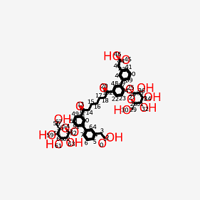 O=C(O)Cc1cccc(-c2cc(C(=O)CCCCCC(=O)c3ccc(O[C@@H]4O[C@H](CO)[C@@H](O)[C@H](O)[C@@H]4O)c(-c4cccc(CC(=O)O)c4)c3)ccc2O[C@@H]2O[C@H](CO)[C@@H](O)[C@H](O)[C@@H]2O)c1